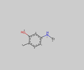 CCNc1ccc(C)c(O)c1